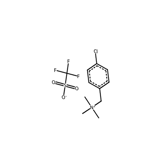 C[N+](C)(C)Cc1ccc(Cl)cc1.O=S(=O)([O-])C(F)(F)F